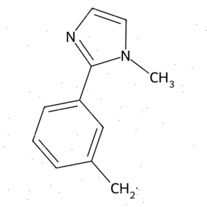 [CH2]c1cccc(-c2nccn2C)c1